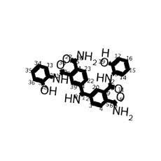 N=C(c1ccc(C(N)=O)c(C(=O)Nc2ccccc2O)c1)c1ccc(C(N)=O)c(C(=O)Nc2ccccc2O)c1